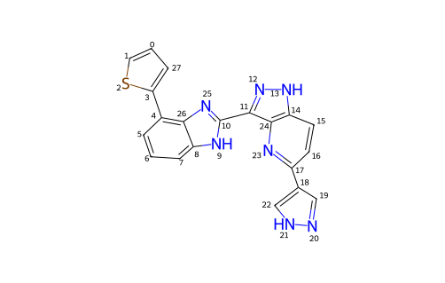 c1csc(-c2cccc3[nH]c(-c4n[nH]c5ccc(-c6cn[nH]c6)nc45)nc23)c1